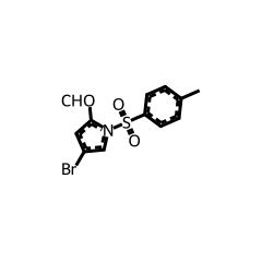 Cc1ccc(S(=O)(=O)n2cc(Br)cc2C=O)cc1